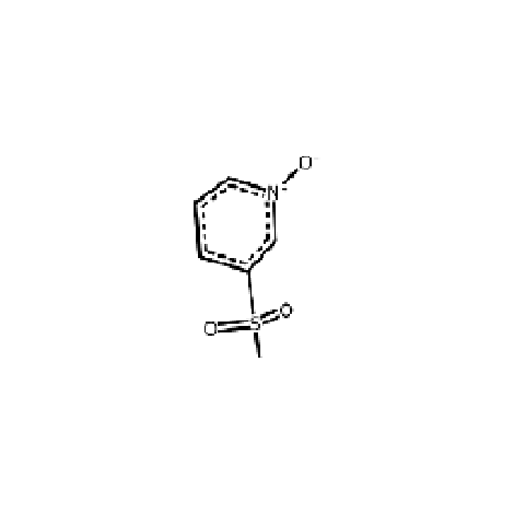 CS(=O)(=O)c1ccc[n+]([O-])c1